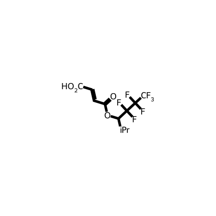 CC(C)C(OC(=O)C=CC(=O)O)C(F)(F)C(F)(F)C(F)(F)F